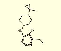 CCc1ncnc(N[C@H]2CC[C@@H](C3(C)CC3)CC2)c1Br